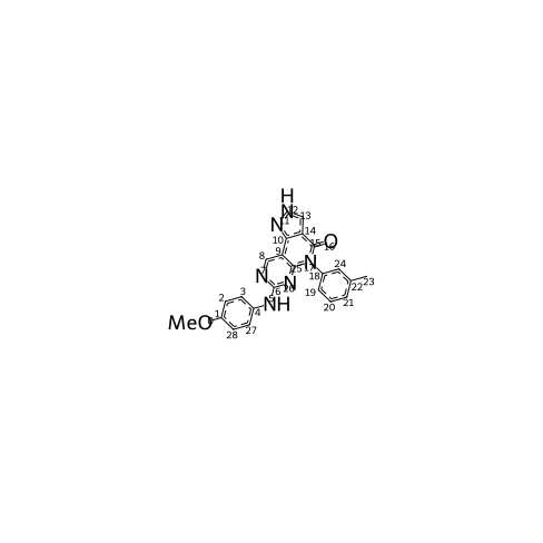 COc1ccc(Nc2ncc3c4n[nH]cc4c(=O)n(-c4cccc(C)c4)c3n2)cc1